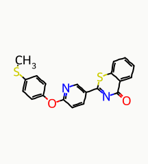 CSc1ccc(Oc2ccc(-c3nc(=O)c4ccccc4s3)cn2)cc1